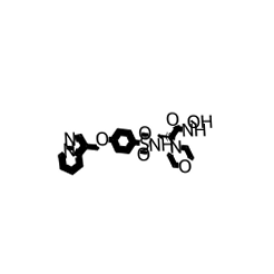 O=C(NO)[C@H](CNS(=O)(=O)c1ccc(OCc2cnn3ccccc23)cc1)N1CCOCC1